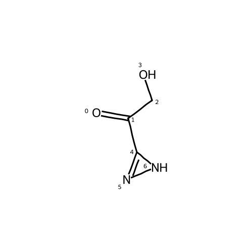 O=C(CO)C1=NN1